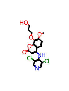 COc1ccc2c(Nc3c(Cl)cncc3Cl)cc(=O)oc2c1OCCCO